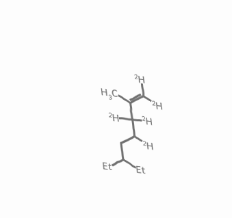 [2H]C([2H])=C(C)C([2H])([2H])C([2H])CC(CC)CC